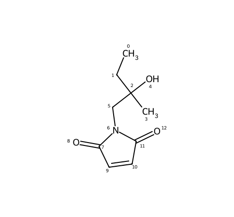 CCC(C)(O)CN1C(=O)C=CC1=O